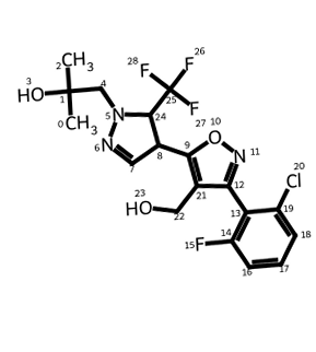 CC(C)(O)CN1N=CC(c2onc(-c3c(F)cccc3Cl)c2CO)C1C(F)(F)F